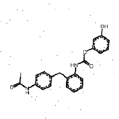 O=C(I)Nc1ccc(Cc2ccccc2NC(=O)Oc2cccc(O)c2)cc1